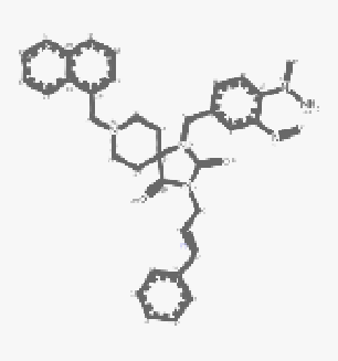 C=Nc1cc(CN2C(=O)N(C/C=C/c3ccccc3)C(=O)C23CCN(Cc2cccc4ccccc24)CC3)ccc1N(C)N